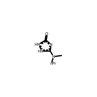 CCCN(C)c1nc(=O)[nH][nH]1